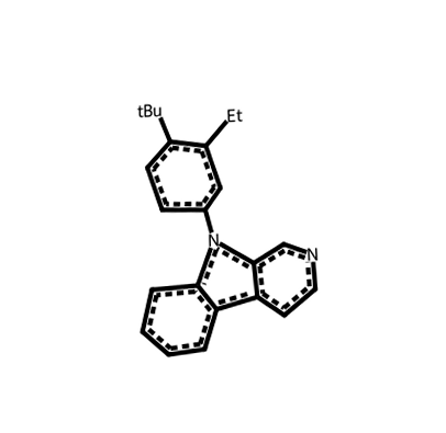 CCc1cc(-n2c3ccccc3c3ccncc32)ccc1C(C)(C)C